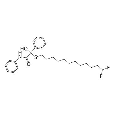 O=C(Nc1ccccc1)C(O)(SCCCCCCCCCCCC(F)F)c1ccccc1